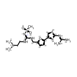 CN(C)CCN/C(=N/S(C)(=O)=O)NCc1ccc(-c2csc(N=C(N)N)n2)o1